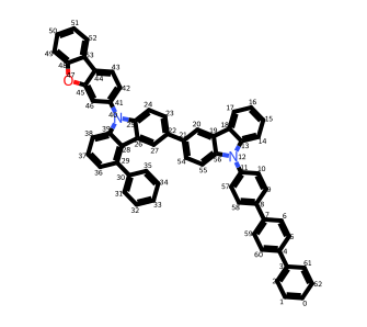 c1ccc(-c2ccc(-c3ccc(-n4c5ccccc5c5cc(-c6ccc7c(c6)c6c(-c8ccccc8)cccc6n7-c6ccc7c(c6)oc6ccccc67)ccc54)cc3)cc2)cc1